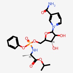 CC(C)OC(=O)[C@H](C)NP(=O)(OCC1OC([n+]2cccc(C(N)=O)c2)C(O)[C@@H]1O)Oc1ccccc1